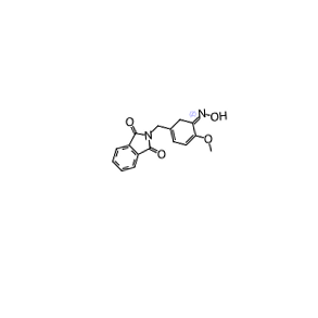 COC1=CC=C(CN2C(=O)c3ccccc3C2=O)C/C1=N/O